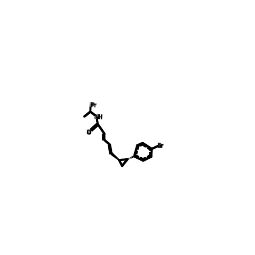 CC(C)C(C)NC(=O)C=CC=C[C@@H]1C[C@H]1c1ccc(Br)cc1